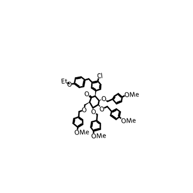 CCOc1ccc(Cc2cc([C@@H]3C(=O)[C@H](COCc4ccc(OC)cc4)[C@@H](OCc4ccc(OC)cc4)[C@H](OCc4ccc(OC)cc4)[C@H]3OCc3ccc(OC)cc3)ccc2Cl)cc1